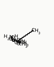 CCCCCCCCCCCCCCCCOC(C(=O)Nc1cccc(S(N)(=O)=O)c1)C(=O)C(C)(C)C